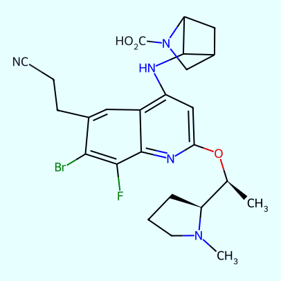 C[C@H](Oc1cc(NC2C3CC2N(C(=O)O)C3)c2cc(CCC#N)c(Br)c(F)c2n1)[C@@H]1CCCN1C